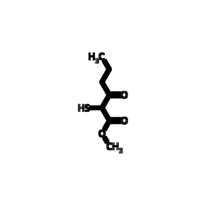 CCCC(=O)C(S)C(=O)OC